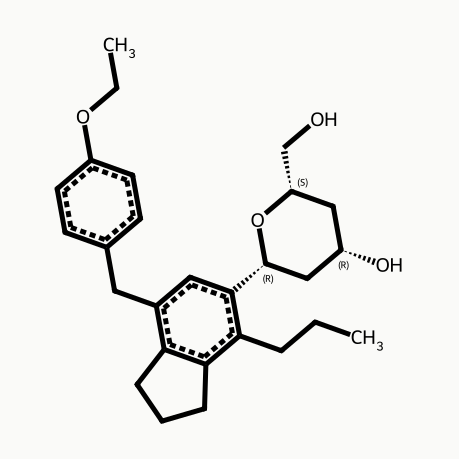 CCCc1c([C@H]2C[C@@H](O)C[C@@H](CO)O2)cc(Cc2ccc(OCC)cc2)c2c1CCC2